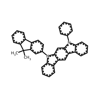 CC1(C)c2ccccc2-c2ccc(-n3c4ccccc4c4cc5c6ccccc6n(-c6ccccc6)c5cc43)cc21